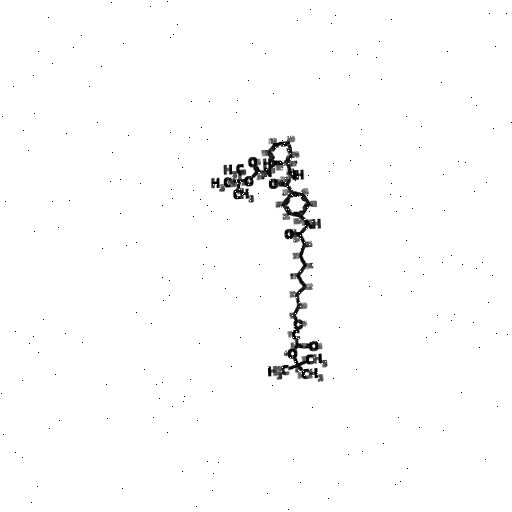 CC(C)(C)OC(=O)COCCCCCCCCC(=O)Nc1ccc(C(=O)Nc2ccccc2NC(=O)OC(C)(C)C)cc1